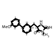 COc1cccc(-c2cccc(CC3NC(=N)N(C)C3=O)c2)c1